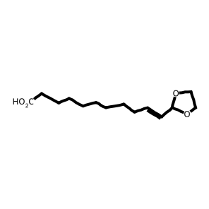 O=C(O)CCCCCCCCC=CC1OCCO1